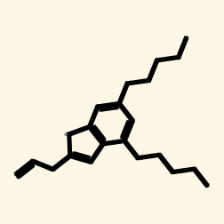 C=CCC1=Cc2c(cc(CCCCC)cc2CCCCC)[CH]1